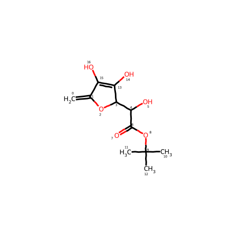 C=C1OC(C(O)C(=O)OC(C)(C)C)C(O)=C1O